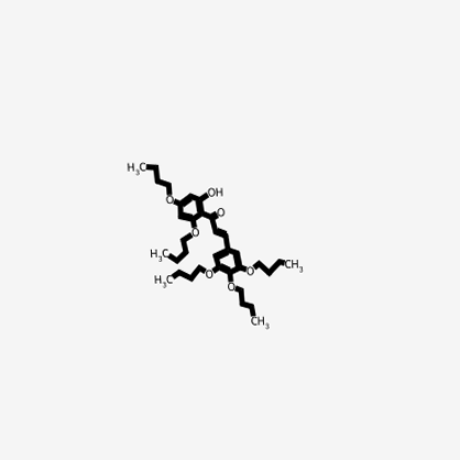 CCCCOc1cc(O)c(C(=O)/C=C/c2cc(OCCCC)c(OCCCC)c(OCCCC)c2)c(OCCCC)c1